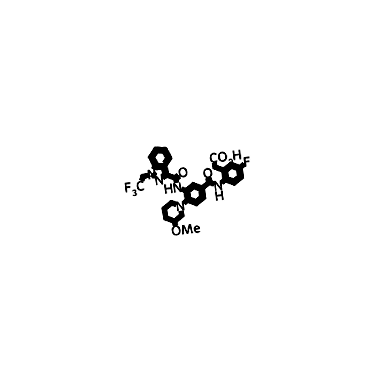 COC1CCCN(c2ccc(C(=O)Nc3ccc(F)cc3CC(=O)O)cc2NC(=O)c2nn(CC(F)(F)F)c3ccccc23)C1